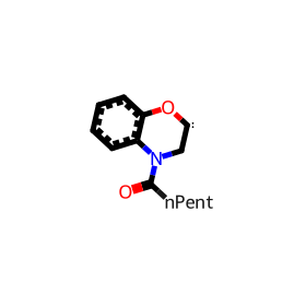 CCCCCC(=O)N1C[C]Oc2ccccc21